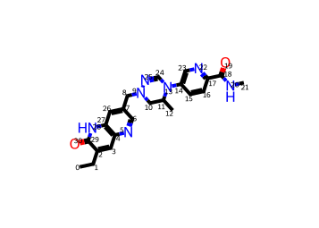 CCc1cc2ncc(CN3CC(C)N(c4ccc(C(=O)NC)nc4)C=N3)cc2[nH]c1=O